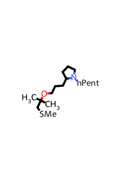 CCCCCN1CCCC1CCCOC(C)(C)CSC